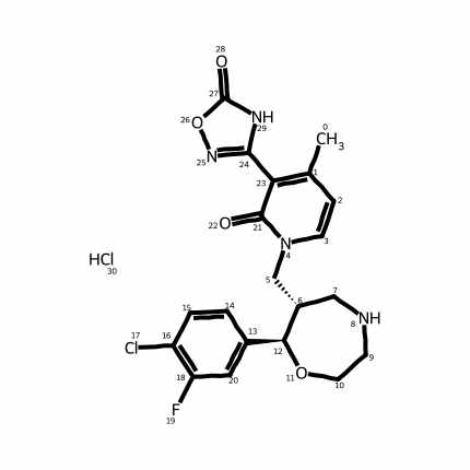 Cc1ccn(C[C@@H]2CNCCO[C@H]2c2ccc(Cl)c(F)c2)c(=O)c1-c1noc(=O)[nH]1.Cl